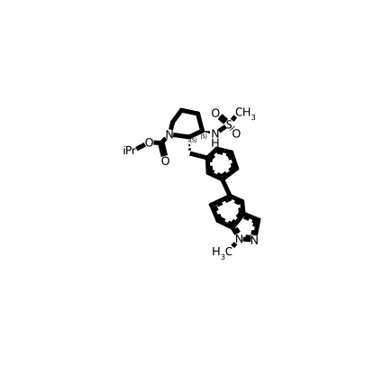 CC(C)OC(=O)N1CCC[C@H](NS(C)(=O)=O)[C@@H]1Cc1cccc(-c2ccc3c(cnn3C)c2)c1